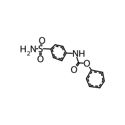 NS(=O)(=O)c1ccc(NC(=O)Oc2ccccc2)cc1